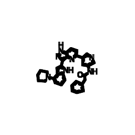 O=C(Cc1ccccc1)Nc1cncc(-c2ccc3[nH]nc(-c4cc5c(N6CCCCC6)cccc5[nH]4)c3n2)c1